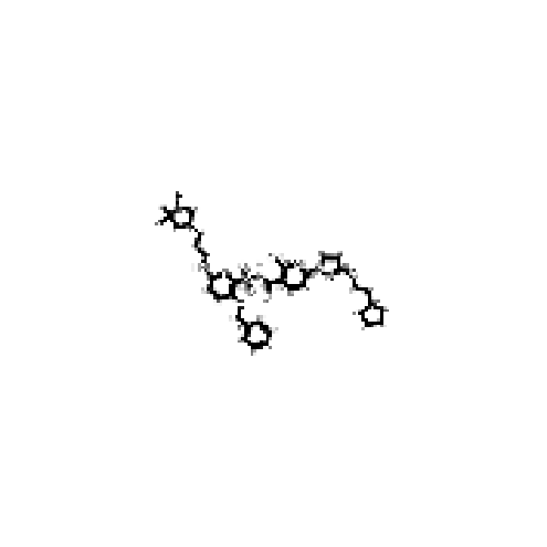 CC1(C)C[C@H](CCCNc2ccc(OCc3ccccc3)c(S(=O)(=O)NC(=O)c3ccc(-n4ccc(OCCC5CCCC5)n4)nc3Cl)n2)CN1